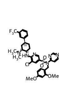 COc1ccc(CN(c2ccncn2)S(=O)(=O)c2cnc(N[C@H]3CC[C@H](c4cccc(C(F)(F)F)c4)C[C@@H]3N(C)C)c(Cl)c2)c(OC)c1